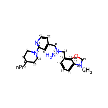 CCCC1CCN(c2cc(CN(N)Cc3cccc4c3OCN4C)ccn2)CC1